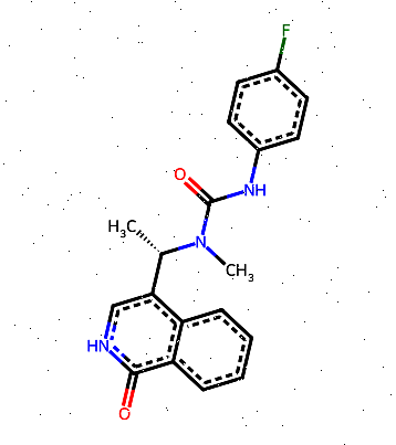 C[C@@H](c1c[nH]c(=O)c2ccccc12)N(C)C(=O)Nc1ccc(F)cc1